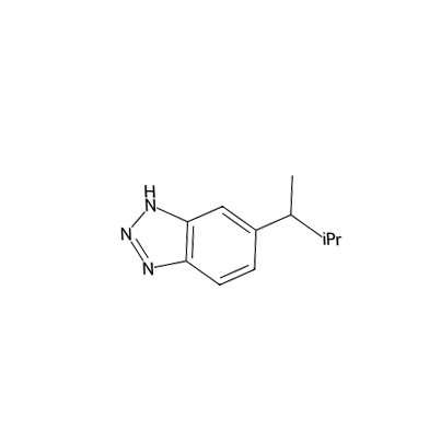 CC(C)C(C)c1ccc2nn[nH]c2c1